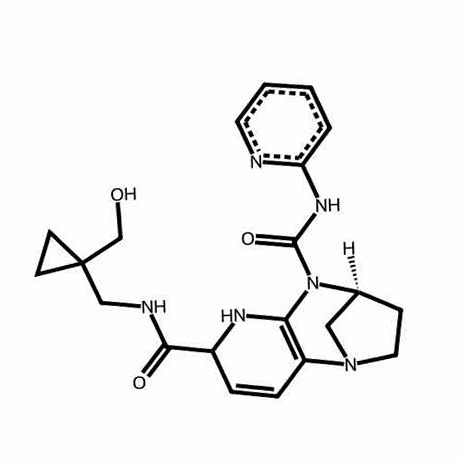 O=C(NCC1(CO)CC1)C1C=CC2=C(N1)N(C(=O)Nc1ccccn1)[C@H]1CCN2C1